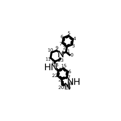 CC(c1ccccc1)N1CCCC(Nc2ccc3[nH]ncc3c2)C1